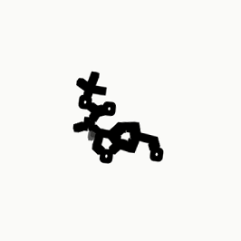 CN(C(=O)OC(C)(C)C)[C@@H]1COc2cc(C=O)ccc21